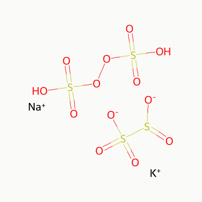 O=S(=O)(O)OOS(=O)(=O)O.O=S([O-])S(=O)(=O)[O-].[K+].[Na+]